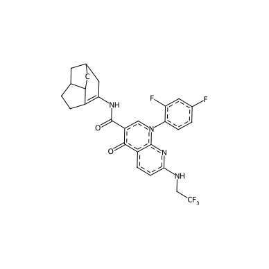 O=C(NC1=C2CCC3CC(C1)CC23)c1cn(-c2ccc(F)cc2F)c2nc(NCC(F)(F)F)ccc2c1=O